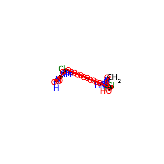 C=CC(=O)N1CCN(c2nc(NCCOCCOCCOCCOCCOCCOCCOCCOCCOCCOCCOc3cc(Cl)cc(NC(=O)NCc4ccc5c(c4)CN(C4CCC(=O)NC4=O)C5=O)c3)nc3c(F)c(-c4cc(O)cc5ccccc45)c(Cl)cc23)CC1